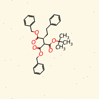 CC(C)(C)OC(=O)C(C(=O)OCc1ccccc1)[C@H](CCc1ccccc1)C(=O)OCc1ccccc1